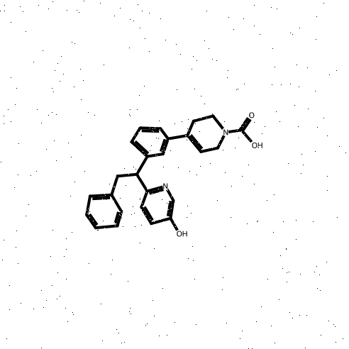 O=C(O)N1CC=C(c2cccc(C(Cc3ccccc3)c3ccc(O)cn3)c2)CC1